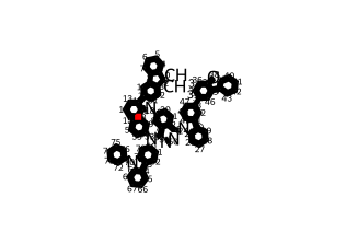 CC1(C)c2ccccc2-c2cc3c4ccccc4n(-c4ccc5c(-n6c7ccccc7c7cc(-c8ccc9oc%10ccccc%10c9c8)ccc76)nnc(N(c6ccccc6)c6ccc7c8ccccc8n(-c8ccccc8)c7c6)c5c4)c3cc21